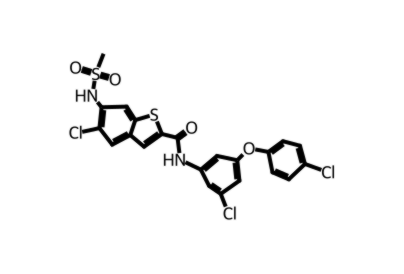 CS(=O)(=O)Nc1cc2sc(C(=O)Nc3cc(Cl)cc(Oc4ccc(Cl)cc4)c3)cc2cc1Cl